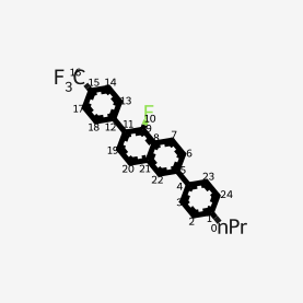 CCCc1ccc(-c2ccc3c(F)c(-c4ccc(C(F)(F)F)cc4)ccc3c2)cc1